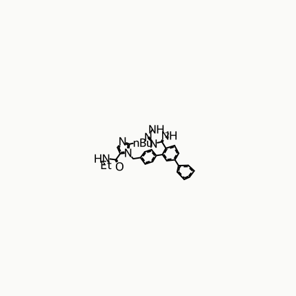 CCCCc1ncc(C(=O)NCC)n1Cc1ccc(-c2cc(-c3ccccc3)ccc2C(=N)/N=N\N)cc1